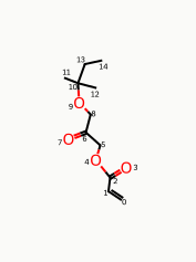 C=CC(=O)OCC(=O)COC(C)(C)CC